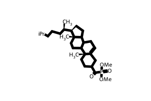 COP(=O)(OC)C(=O)C1CC[C@@]2(C)C(=CCC3C2CC[C@@]2(C)C3CC[C@@H]2[C@H](C)CCCC(C)C)C1